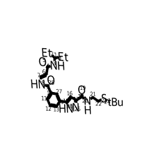 CCC(CC)NC(=O)C1=CNC(c2cccc(-c3cc(C(=O)NCCSC(C)(C)C)n[nH]3)c2)O1